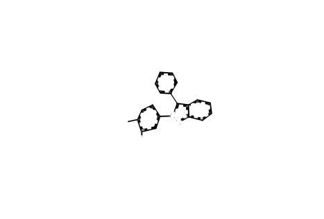 Cc1ccc(-n2nc3ccccc3c2-c2ccccc2)cc1C